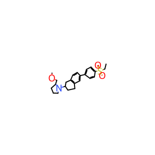 CCS(=O)(=O)c1ccc(-c2ccc3c(c2)CCC(N2CCCC2COC)C3)cc1